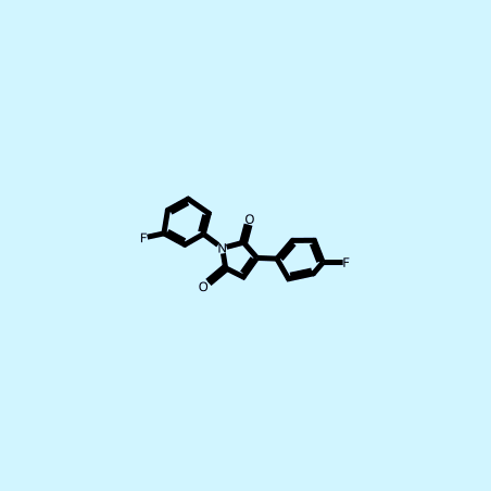 O=C1C=C(c2ccc(F)cc2)C(=O)N1c1cccc(F)c1